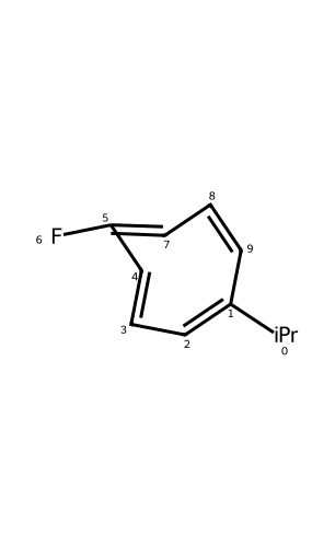 CC(C)C1=C/C=C/C(F)=C/C=C\1